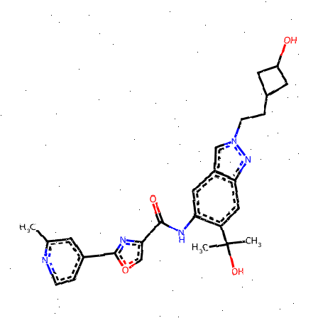 Cc1cc(-c2nc(C(=O)Nc3cc4cn(CCC5CC(O)C5)nc4cc3C(C)(C)O)co2)ccn1